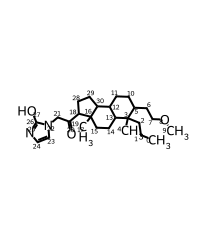 CCCC1(C)C(CCOC)CCC2C1CCC1(C)C(C(=O)Cn3ccnc3O)CCC21